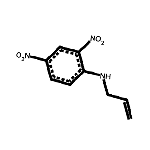 C=CCNc1ccc([N+](=O)[O-])cc1[N+](=O)[O-]